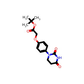 CC(C)(C)OC(=O)COc1ccc(N2CCC(=O)NC2=O)cc1